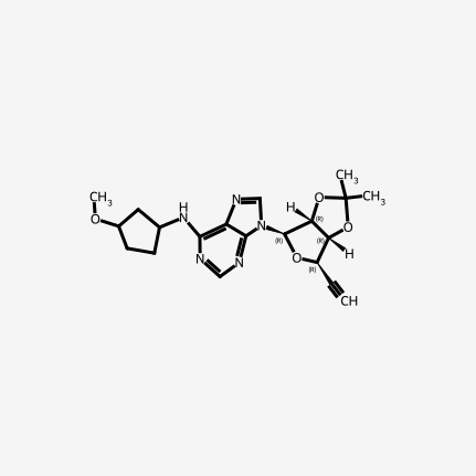 C#C[C@H]1O[C@@H](n2cnc3c(NC4CCC(OC)C4)ncnc32)[C@@H]2OC(C)(C)O[C@@H]21